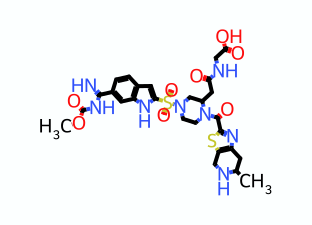 COC(=O)NC(=N)c1ccc2cc(S(=O)(=O)N3CCN(C(=O)c4nc5c(s4)CNC(C)C5)C(CC(=O)NCC(=O)O)C3)[nH]c2c1